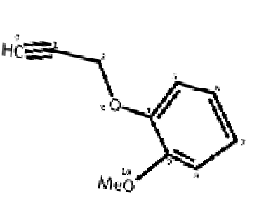 C#CCOc1cc[c]cc1OC